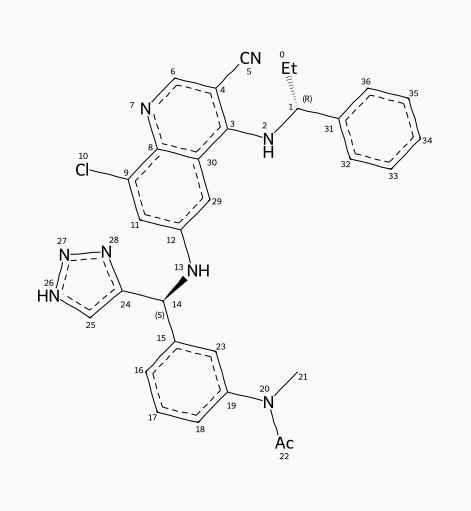 CC[C@@H](Nc1c(C#N)cnc2c(Cl)cc(N[C@@H](c3cccc(N(C)C(C)=O)c3)c3c[nH]nn3)cc12)c1ccccc1